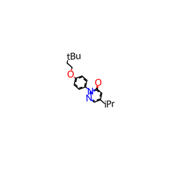 CC(C)c1cnn(-c2ccc(OCCC(C)(C)C)cc2)c(=O)c1